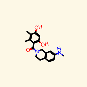 CNc1ccc2c(c1)CN(C(=O)c1c(O)cc(O)c(C)c1C)CC2